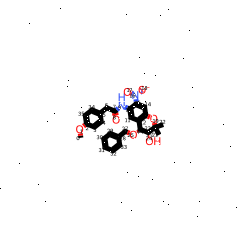 COc1ccc(CC(=O)Nc2cc3c(cc2[N+](=O)[O-])OC(C)(C)[C@H](O)[C@H]3OCc2ccccc2)cc1